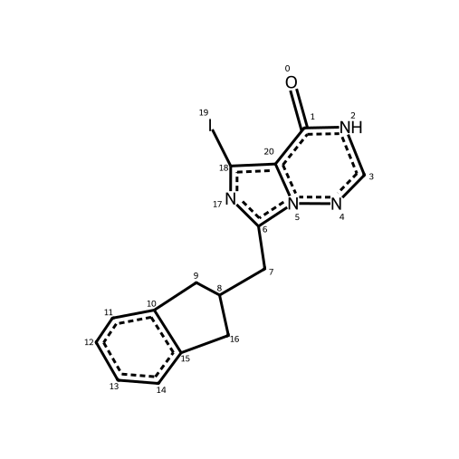 O=c1[nH]cnn2c(CC3Cc4ccccc4C3)nc(I)c12